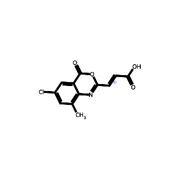 Cc1cc(Cl)cc2c(=O)oc(/C=C/C(=O)O)nc12